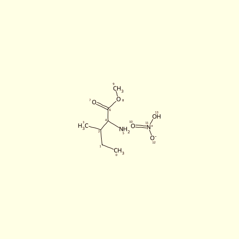 CCC(C)C(N)C(=O)OC.O=[N+]([O-])O